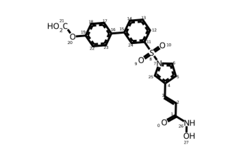 O=C(/C=C/c1ccn(S(=O)(=O)c2cccc(-c3ccc(OC(=O)O)cc3)c2)c1)NO